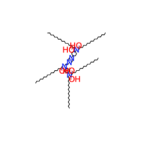 CCCCCCCCCCCCCCC(O)CN(CCN1CCN(C2CCC(N(CC(O)CCCCCCCCCCCCCC)CC(O)CCCCCCCCCCCCCC)CC2)CC1)C1CCC(N(CC(O)CCCCCCCCCCCCCC)CC(O)CCCCCCCCCCCCCC)CC1